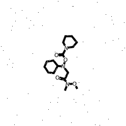 CON(C)C(=O)CN(OC(=O)N1CCCCC1)C1CCCCC1